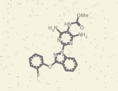 COC(=O)Nc1c(N)nc(-n2nc(Oc3ccccc3F)c3ccccc32)nc1N